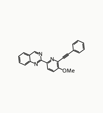 COc1ccc(-c2ncc3ccccc3n2)nc1C#Cc1ccccc1